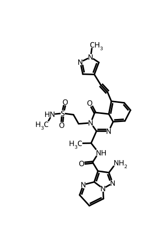 CNS(=O)(=O)CCn1c(C(C)NC(=O)c2c(N)nn3cccnc23)nc2cccc(C#Cc3cnn(C)c3)c2c1=O